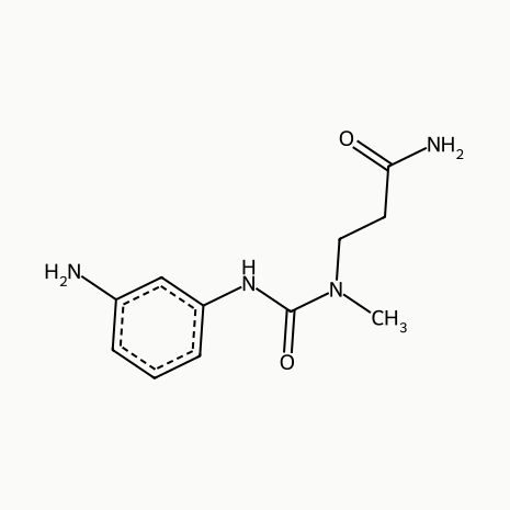 CN(CCC(N)=O)C(=O)Nc1cccc(N)c1